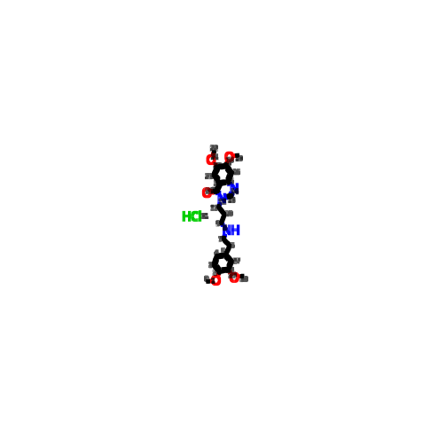 COc1ccc(CCNCCCn2cnc3cc(OC)c(OC)cc3c2=O)cc1OC.Cl